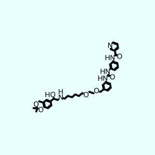 CC1(C)OCc2cc(C(O)CNCCCCCCOCCOCc3cccc(NC(=O)Nc4cccc(NC(=O)c5cccnc5)c4)c3)ccc2O1